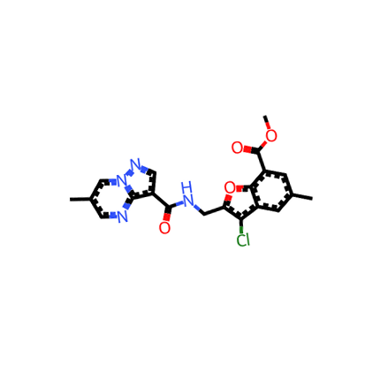 COC(=O)c1cc(C)cc2c(Cl)c(CNC(=O)c3cnn4cc(C)cnc34)oc12